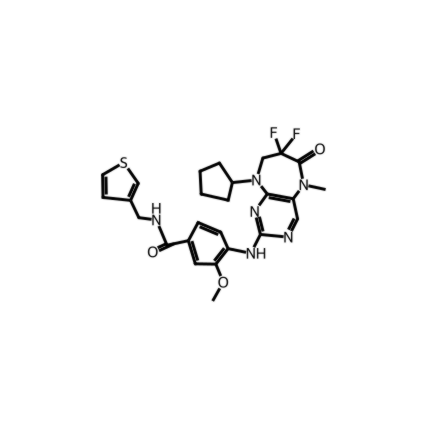 COc1cc(C(=O)NCc2ccsc2)ccc1Nc1ncc2c(n1)N(C1CCCC1)CC(F)(F)C(=O)N2C